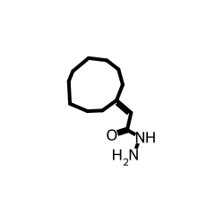 NNC(=O)C=C1CCCCCCCCC1